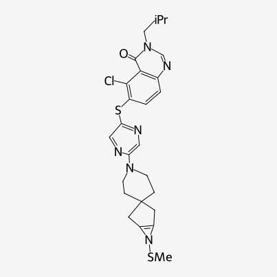 CSN1C2=C1CC1(CCN(c3cnc(Sc4ccc5ncn(CC(C)C)c(=O)c5c4Cl)cn3)CC1)C2